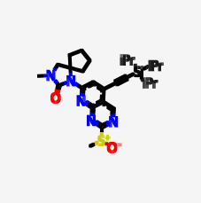 CC(C)[Si](C#Cc1cc(N2C(=O)N(C)CC23CCCC3)nc2nc([S+](C)[O-])ncc12)(C(C)C)C(C)C